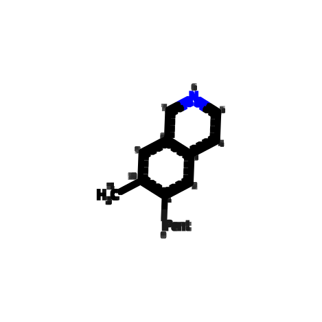 CCCC(C)c1cc2ccncc2cc1C